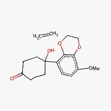 C=C.COc1ccc(C2(O)CCC(=O)CC2)c2c1OCCO2